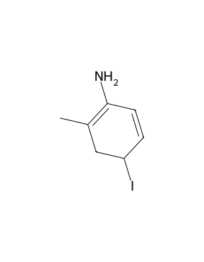 CC1=C(N)C=CC(I)C1